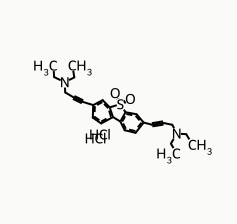 CCN(CC)CC#Cc1ccc2c(c1)S(=O)(=O)c1cc(C#CCN(CC)CC)ccc1-2.Cl.Cl